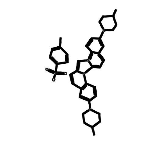 CC1CCN(c2ccc3c(ccc4c[n+]5c6ccc(N7CCC(C)CC7)cc6ccc5n43)c2)CC1.Cc1ccc(S(=O)(=O)[O-])cc1